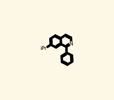 CC(C)c1ccc2ccnc(-c3ccccc3)c2c1